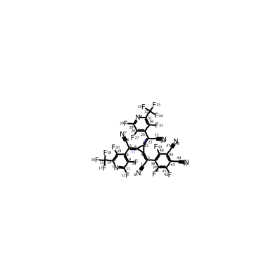 N#CC(=C1C(=C(/C#N)c2c(F)c(F)nc(C(F)(F)F)c2F)/C1=C(/C#N)c1c(F)c(F)nc(C(F)(F)F)c1F)c1c(F)c(F)c(C#N)c(C#N)c1F